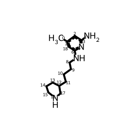 Cc1cc(N)nc(NCCCCC2CCCNC2)c1